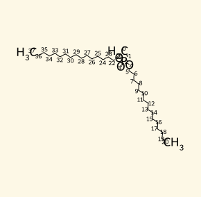 C=CP(=O)(OCCCCCCCCCCCCCCCC)OCCCCCCCCCCCCCCCC